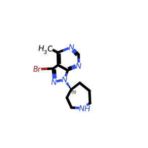 Cc1ncnc2c1c(Br)nn2[C@H]1CCCNCC1